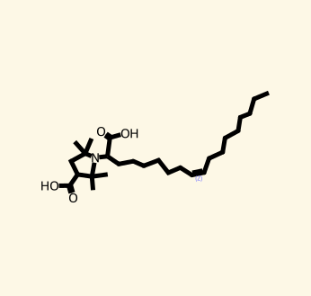 CCCCCCCC/C=C\CCCCCCC(C(=O)O)N1C(C)(C)CC(C(=O)O)C1(C)C